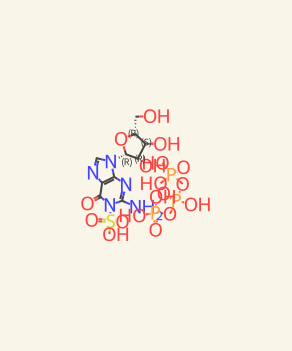 Nc1nc2c(ncn2[C@@H]2O[C@H](CO)[C@@H](O)[C@H]2O)c(=O)n1S(=O)(=O)O.O=P(O)(O)OP(=O)(O)OP(=O)(O)O